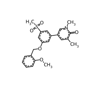 COc1ccccc1COc1cc(-c2cc(C)c(=O)n(C)c2)cc(S(C)(=O)=O)c1